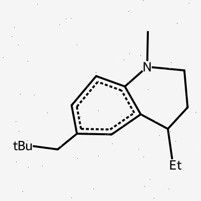 CCC1CCN(C)c2ccc(CC(C)(C)C)cc21